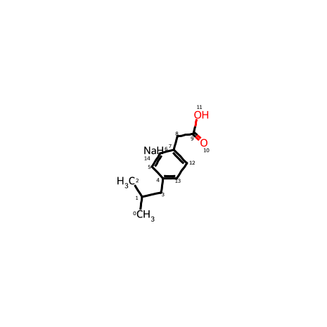 CC(C)Cc1ccc(CC(=O)O)cc1.[NaH]